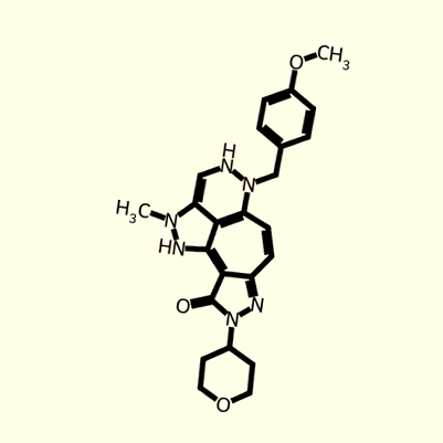 COc1ccc(CN2NC=C3c4c2ccc2nn(C5CCOCC5)c(=O)c-2c4NN3C)cc1